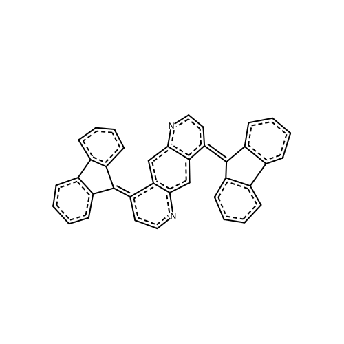 c1ccc2c(c1)C(=c1ccnc3cc4c(=C5c6ccccc6-c6ccccc65)ccnc4cc13)c1ccccc1-2